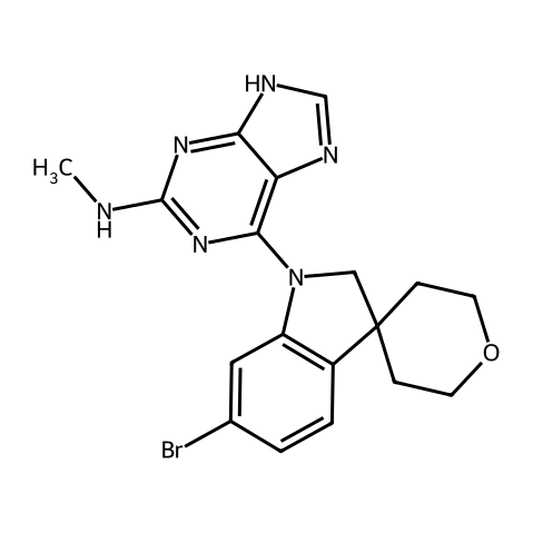 CNc1nc(N2CC3(CCOCC3)c3ccc(Br)cc32)c2nc[nH]c2n1